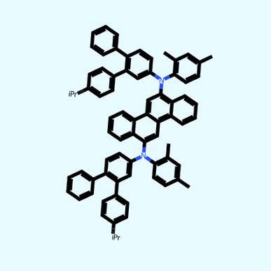 Cc1ccc(N(c2ccc(-c3ccccc3)c(-c3ccc(C(C)C)cc3)c2)c2cc3c4ccccc4c(N(c4ccc(-c5ccccc5)c(-c5ccc(C(C)C)cc5)c4)c4ccc(C)cc4C)cc3c3ccccc23)c(C)c1